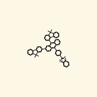 CC1(C)c2ccccc2-c2ccc(-c3ccc4c(-c5ccc(-c6nc7ccccc7s6)cc5)c5ccccc5c(-c5cccc6c5-c5ccccc5C6(C)C)c4c3)cc21